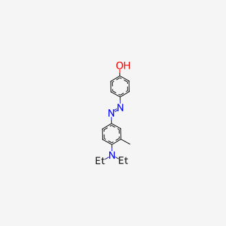 CCN(CC)c1ccc(N=Nc2ccc(O)cc2)cc1C